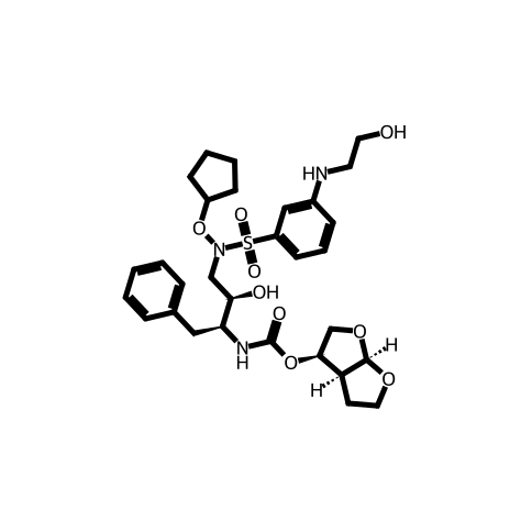 O=C(N[C@@H](Cc1ccccc1)[C@H](O)CN(OC1CCCC1)S(=O)(=O)c1cccc(NCCO)c1)O[C@H]1CO[C@H]2OCC[C@H]21